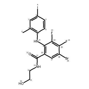 Cc1cc(I)ccc1Nc1c(C(=O)NCCO)cc(Br)c(F)c1F